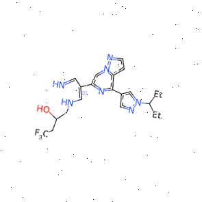 CCC(CC)n1cc(-c2nc(/C(C=N)=C/NCC(O)CC(F)(F)F)cn3nccc23)cn1